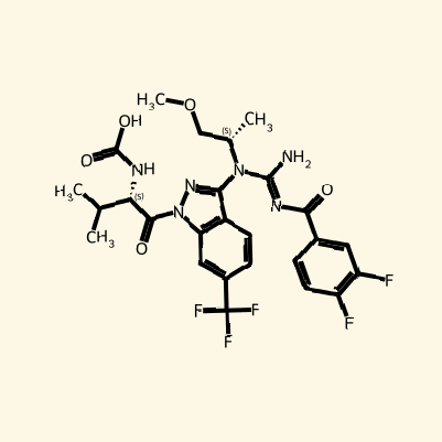 COC[C@H](C)N(C(N)=NC(=O)c1ccc(F)c(F)c1)c1nn(C(=O)[C@@H](NC(=O)O)C(C)C)c2cc(C(F)(F)F)ccc12